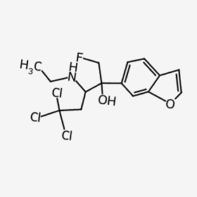 CCNC(CC(Cl)(Cl)Cl)C(O)(CF)c1ccc2ccoc2c1